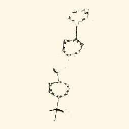 CC(C)(C)c1ccc(C(=O)Nc2ccc(-n3cnnn3)cc2)cc1